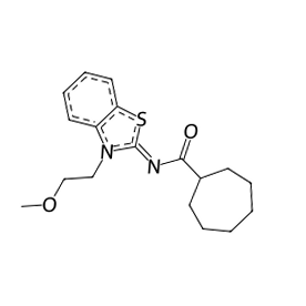 COCCn1/c(=N/C(=O)C2CCCCCC2)sc2ccccc21